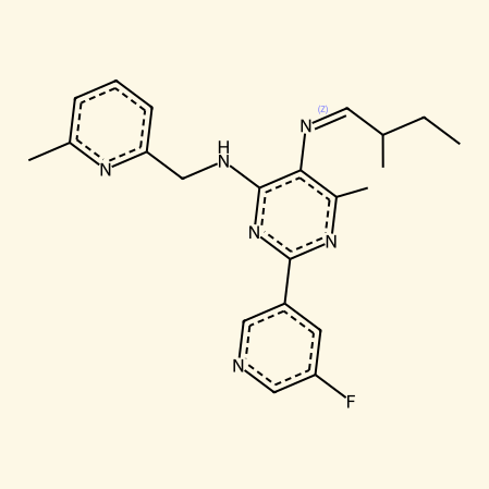 CCC(C)/C=N\c1c(C)nc(-c2cncc(F)c2)nc1NCc1cccc(C)n1